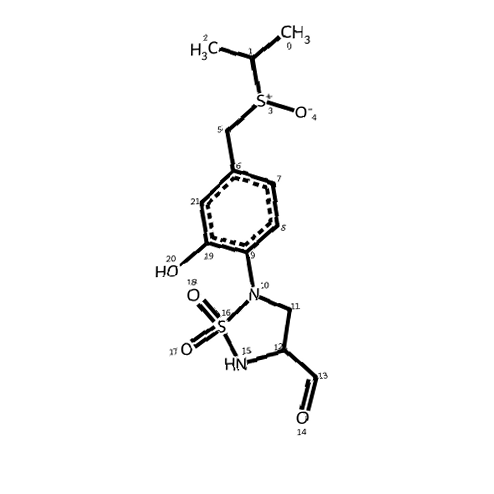 CC(C)[S+]([O-])Cc1ccc(N2CC(C=O)NS2(=O)=O)c(O)c1